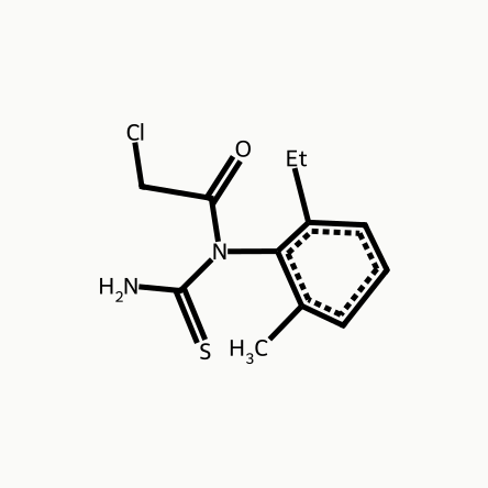 CCc1cccc(C)c1N(C(=O)CCl)C(N)=S